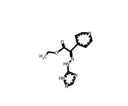 CCOC(=O)C(=NNc1ncn[nH]1)c1ccncc1